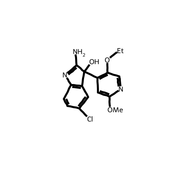 CCOc1cnc(OC)cc1C1(O)C(N)=Nc2ccc(Cl)cc21